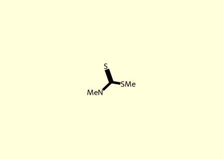 CNC(=S)SC